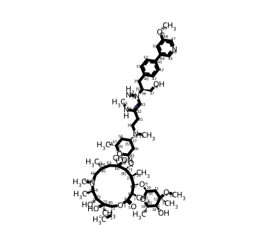 CC[C@H]1OC(=O)[C@H](C)[C@@H](O[C@H]2C[C@@](C)(OC)[C@@H](O)[C@H](C)O2)[C@H](C)[C@@H](O[C@H]2C[C@@H](N(C)CC/C(=C/N(N)[C@H](CO)Cc3ccc(-c4cncc(OC)c4)cc3)NC)C[C@@H](C)O2)[C@](C)(O)C[C@@H](C)CN(C)[C@H](C)[C@@H](O)[C@]1(C)O